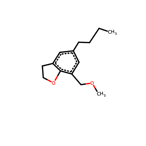 CCCCc1cc2c(c(COC)c1)OCC2